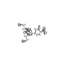 O=[N+]([O-])c1ccc(COP(=O)(NCCBr)NCCBr)cc1F